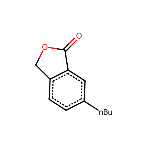 CCCCc1ccc2c(c1)C(=O)OC2